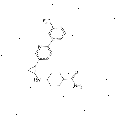 NC(=O)C1CCC(NC2CC2c2ccc(-c3cccc(C(F)(F)F)c3)nc2)CC1